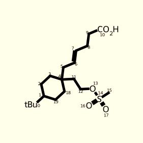 CC(C)(C)C1CCC(CC=CCCC(=O)O)(CCOS(C)(=O)=O)CC1